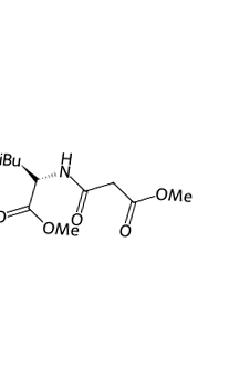 CC[C@H](C)[C@H](NC(=O)CC(=O)OC)C(=O)OC